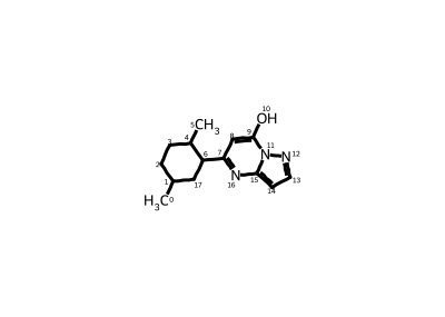 CC1CCC(C)C(c2cc(O)n3nccc3n2)C1